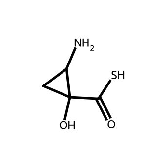 NC1CC1(O)C(=O)S